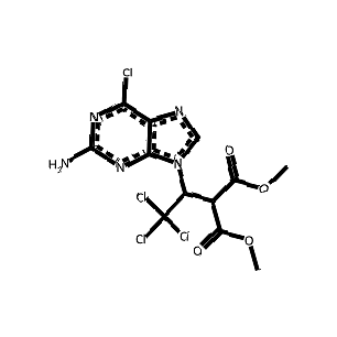 COC(=O)C(C(=O)OC)C(n1cnc2c(Cl)nc(N)nc21)C(Cl)(Cl)Cl